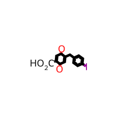 O=C(O)C1=CC(=O)C(Cc2ccc(I)cc2)=CC1=O